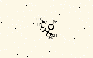 C#CC(CC)(c1ccc(Br)cc1)c1csc(NC(C)=O)n1